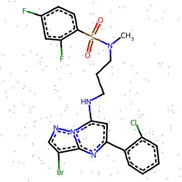 CN(CCCNc1cc(-c2ccccc2Cl)nc2c(Br)cnn12)S(=O)(=O)c1ccc(F)cc1F